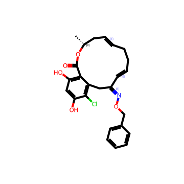 C[C@@H]1C/C=C/CC/C=C/C(=N/OCc2ccccc2)Cc2c(Cl)c(O)cc(O)c2C(=O)O1